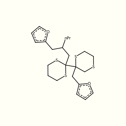 CCCC(Cc1ccco1)CC1(C2(Cc3ccco3)CSCCS2)SCCCS1